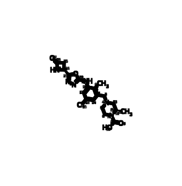 Cc1c(CN2CCN(C(=O)O)[C@@H](C)C2)cc(Cl)cc1Nc1nnc([C@@H]2CC(=O)N2)o1